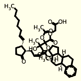 CCCCCC/C=C/[C@H]1CCC(=O)[C@@H]1C/C=C\C([C@H]1CC[C@H]2[C@@H]3CCc4ccccc4[C@H]3CC[C@]12C)C(C)(O)C(OC(C)=O)(OC(C)=O)C(=O)OCC(=O)O